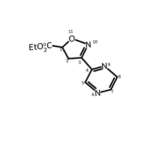 CCOC(=O)C1CC(c2cnccn2)=NO1